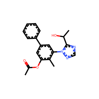 CC(=O)Oc1cc(-c2ccccc2)cc(-n2ncnc2C(C)O)c1C